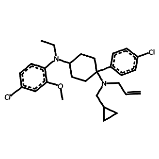 C=CCN(CC1CC1)C1(c2ccc(Cl)cc2)CCC(N(CC)c2ccc(Cl)cc2OC)CC1